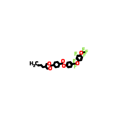 C=CCCC1COC(C2CCC(C(=O)Oc3ccc(C(F)(F)Oc4ccc(OC(F)(F)F)c(F)c4)cc3)CC2)OC1